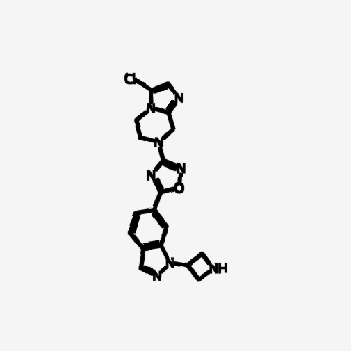 Clc1cnc2n1CCN(c1noc(-c3ccc4cnn(C5CNC5)c4c3)n1)C2